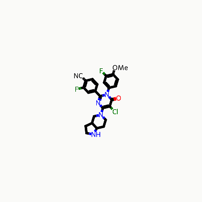 COc1ccc(-n2c(-c3ccc(C#N)c(F)c3)nc(N3CCC4NCCC4C3)c(Cl)c2=O)cc1F